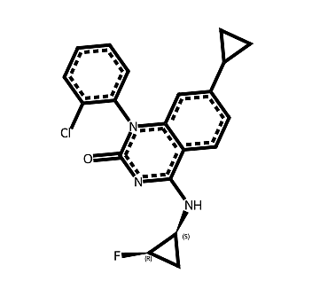 O=c1nc(N[C@H]2C[C@H]2F)c2ccc(C3CC3)cc2n1-c1ccccc1Cl